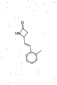 Cc1ccccc1C=CC1CC(=O)N1